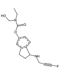 CCN(CO)C(=O)Oc1ccc2c(c1)CCC2NCC#CF